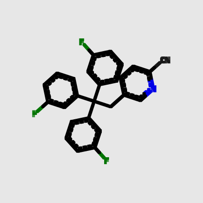 N#Cc1ccc(CC(c2cccc(F)c2)(c2cccc(F)c2)c2cccc(F)c2)cn1